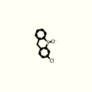 [O-][S+]1c2ccccc2Cc2ccc(Cl)cc21